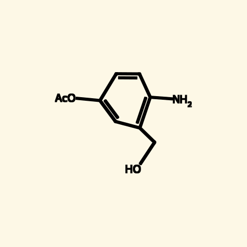 CC(=O)Oc1ccc(N)c(CO)c1